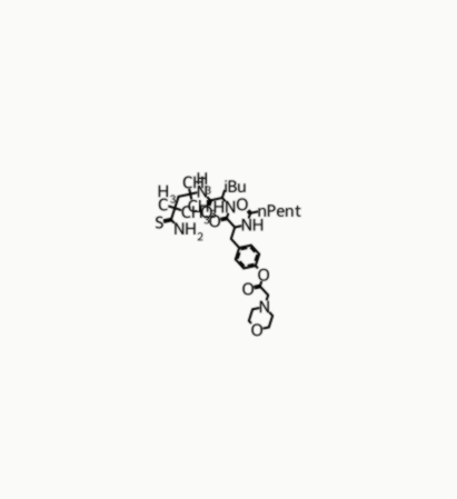 CCCCCC(=O)NC(Cc1ccc(OC(=O)CN2CCOCC2)cc1)C(=O)NC(C(=O)NC(C)(C)CC(C)(C)C(N)=S)C(C)CC